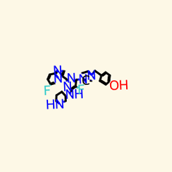 Oc1ccc(CN2CCN(c3nc(-c4cnc5ccc(F)cn45)nc(NC4CCCNC4)c3F)CC2)cc1